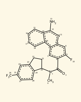 CN(C(=O)c1cc2c(cc1F)nc(N)c1ccncc12)C1CCc2cc(C(F)(F)F)ccc21